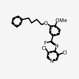 COc1ccc(/C(F)=N/c2c(Cl)cncc2Cl)cc1OCCCCc1ccccc1